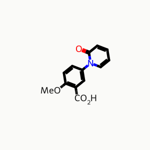 COc1ccc(-n2ccccc2=O)cc1C(=O)O